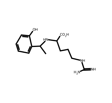 CC(NC(CCCNC(=N)N)C(=O)O)c1ccccc1O